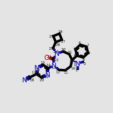 CN(C)[C@@]1(c2ccccc2)CCCN(c2cnc(C#N)cn2)C(=O)N(CC2CCC2)CC1